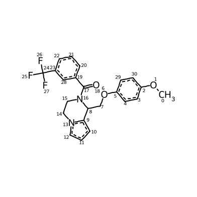 COc1ccc(OCC2c3cccn3CCN2C(=O)c2cccc(C(F)(F)F)c2)cc1